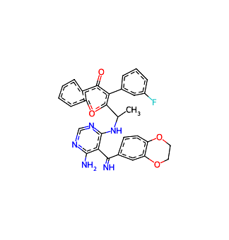 CC(Nc1ncnc(N)c1C(=N)c1ccc2c(c1)OCCO2)c1oc2ccccc2c(=O)c1-c1cccc(F)c1